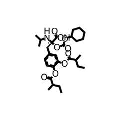 CCC(C)C(=O)Oc1ccc(C[C@](NC(C)C)(OC(=O)OC2CCCCC2)C(=O)O)cc1OC(=O)C(C)CC